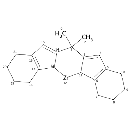 CC1(C)C2=CC3=C(CCCC3)[CH]2[Zr][CH]2C1=CC1=C2CCCC1